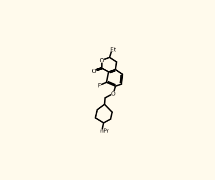 CCCC1CCC(COc2ccc3c(c2F)C(=O)OC(CC)C3)CC1